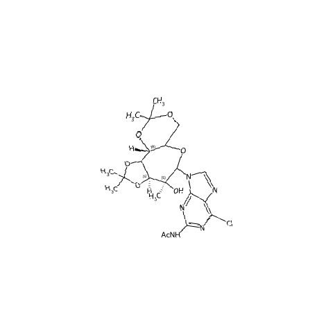 CC(=O)Nc1nc(Cl)c2ncn(C3OC4COC(C)(C)O[C@H]4C4OC(C)(C)O[C@@H]4[C@]3(C)O)c2n1